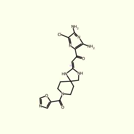 Nc1nc(N)c(C(=O)/C=C2\NCC3(CCN(C(=O)c4cnco4)CC3)N2)nc1Cl